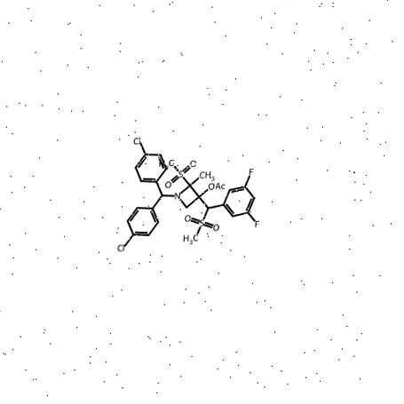 CC(=O)OC1(C(c2cc(F)cc(F)c2)S(C)(=O)=O)CN(C(c2ccc(Cl)cc2)c2ccc(Cl)cc2)C1(C)S(C)(=O)=O